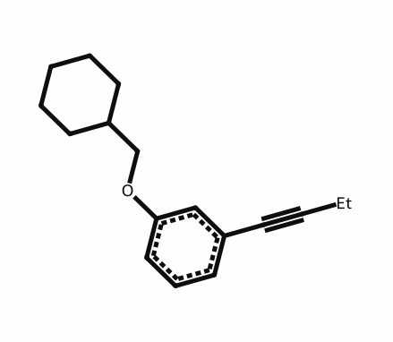 CCC#Cc1cccc(OCC2CCCCC2)c1